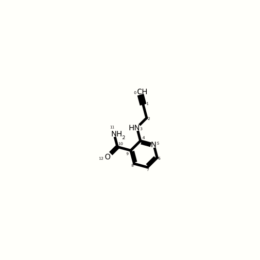 C#CCNc1ncccc1C(N)=O